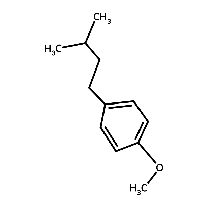 COc1ccc(CCC(C)C)cc1